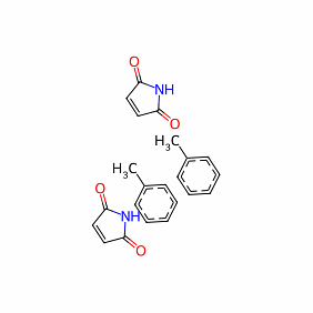 Cc1ccccc1.Cc1ccccc1.O=C1C=CC(=O)N1.O=C1C=CC(=O)N1